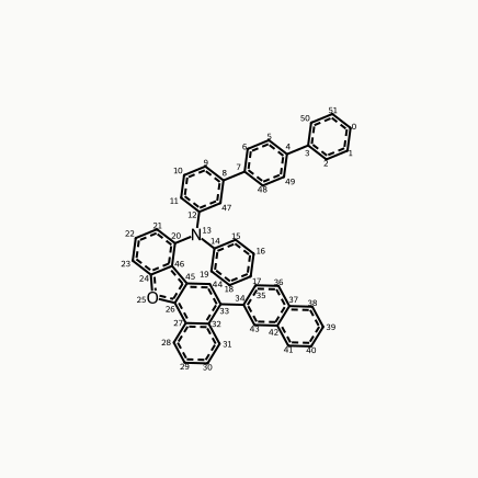 c1ccc(-c2ccc(-c3cccc(N(c4ccccc4)c4cccc5oc6c7ccccc7c(-c7ccc8ccccc8c7)cc6c45)c3)cc2)cc1